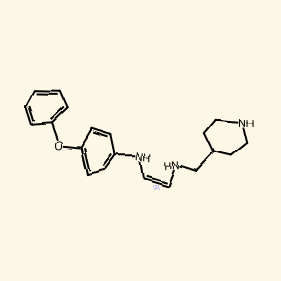 C(=C/Nc1ccc(Oc2ccccc2)cc1)/NCC1CCNCC1